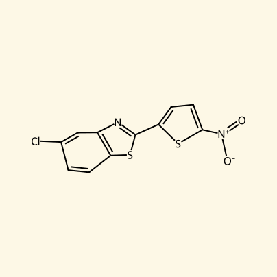 O=[N+]([O-])c1ccc(-c2nc3cc(Cl)ccc3s2)s1